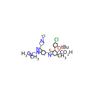 Cc1cc2nc(-c3ccc4c(c3)c(C3CCN(C5CCC5)CC3)nn4CCN(C)C)sc2c(-c2ccc(Cl)cc2)c1[C@H](OC(C)(C)C)C(=O)O